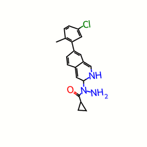 Cc1ccc(Cl)cc1-c1ccc2c(c1)=CNC(N(N)C(=O)C1CC1)C=2